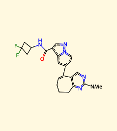 CNc1ncc2c(n1)CCCC=C2c1ccn2ncc(C(=O)NC3CC(F)(F)C3)c2c1